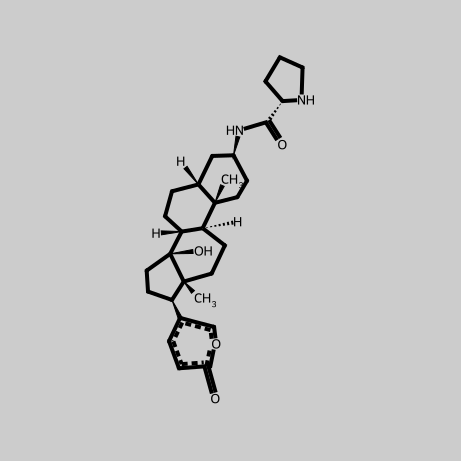 C[C@]12CC[C@H](NC(=O)[C@@H]3CCCN3)C[C@H]1CC[C@@H]1[C@@H]2CC[C@]2(C)[C@@H](c3ccc(=O)oc3)CC[C@]12O